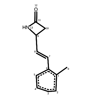 Cc1ccccc1/C=C/C1CC(=O)N1